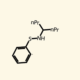 CCCC(CCC)NSc1[c]cccc1